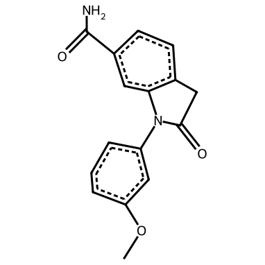 COc1cccc(N2C(=O)Cc3ccc(C(N)=O)cc32)c1